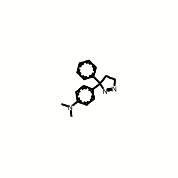 CN(C)c1ccc(C2(c3ccccc3)CCN=N2)cc1